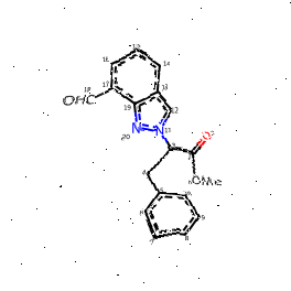 COC(=O)C(Cc1ccccc1)n1cc2cccc(C=O)c2n1